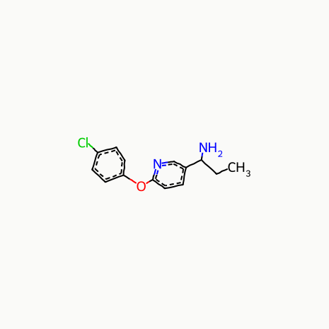 CCC(N)c1ccc(Oc2ccc(Cl)cc2)nc1